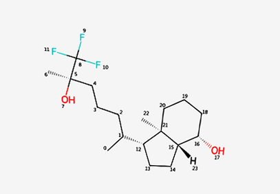 CC(CCC[C@@](C)(O)C(F)(F)F)[C@H]1CC[C@H]2[C@@H](O)CCC[C@]12C